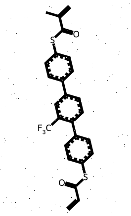 C=CC(=O)Sc1ccc(-c2ccc(-c3ccc(SC(=O)C(=C)C)cc3)cc2C(F)(F)F)cc1